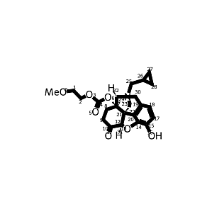 COCCOC(=O)O[C@@]12CCC(=O)[C@@H]3Oc4c(O)ccc5c4[C@@]31CCN(CC1CC1)[C@@H]2C5